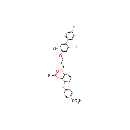 CCC(=O)Oc1c(OCCCOc2cc(O)c(-c3ccc(F)cc3)cc2CC)cccc1Oc1ccc(C(=O)O)cc1